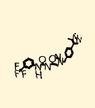 Cc1c(-c2ccc(C[n+]3cc([N-]C(=O)Nc4cccc(C(F)(F)F)c4)on3)cc2)cnn1C